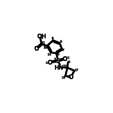 CC1(NS(=O)(=O)c2cccc(C(=O)O)c2)COC1